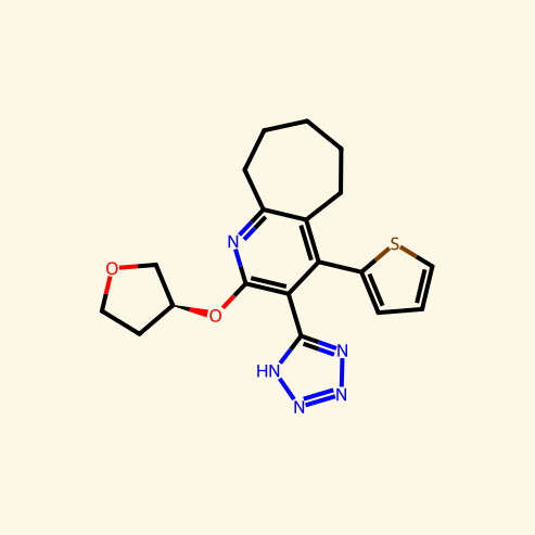 c1csc(-c2c3c(nc(O[C@H]4CCOC4)c2-c2nnn[nH]2)CCCCC3)c1